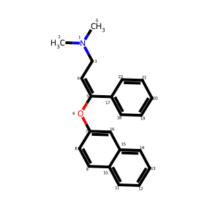 CN(C)CC=C(Oc1ccc2ccccc2c1)c1ccccc1